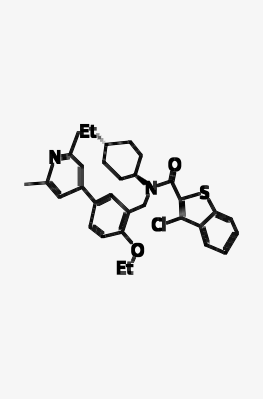 CCOc1ccc(-c2cc(C)nc(C)c2)cc1CN(C(=O)c1sc2ccccc2c1Cl)[C@H]1CC[C@H](CC)CC1